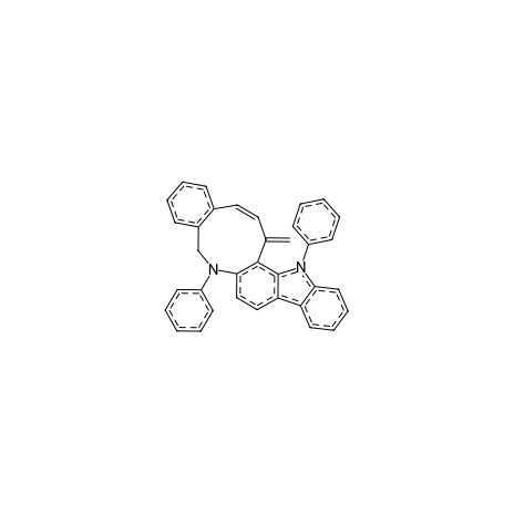 C=C1/C=C\c2ccccc2CN(c2ccccc2)c2ccc3c4ccccc4n(-c4ccccc4)c3c21